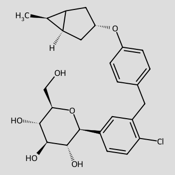 C[C@H]1C2C[C@H](Oc3ccc(Cc4cc([C@@H]5O[C@H](CO)[C@@H](O)[C@H](O)[C@H]5O)ccc4Cl)cc3)C[C@H]21